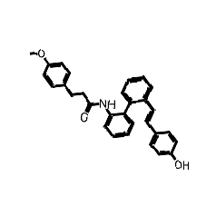 COc1ccc(CCC(=O)Nc2ccccc2-c2ccccc2/C=C/c2ccc(O)cc2)cc1